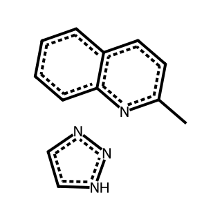 Cc1ccc2ccccc2n1.c1c[nH]nn1